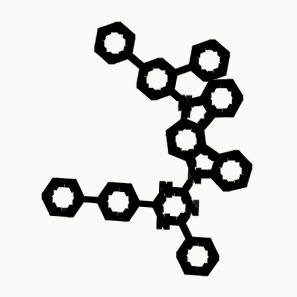 c1ccc(-c2ccc(-c3nc(-c4ccccc4)nc(-n4c5ccccc5c5c6c7ccccc7n(-c7ccc(-c8ccccc8)cc7-c7ccccc7)c6ccc54)n3)cc2)cc1